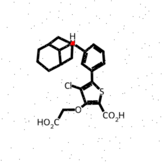 O=C(O)COc1c(C(=O)O)sc(-c2cccc(NC3C4CCCC3CCC4)c2)c1Cl